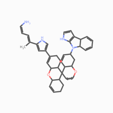 C/C(=C\C=C/N)c1cc(C2=CC3OC4C=CCCC4C4(C5=CCCC=C5OC5CC(N6c7[nH]ccc7C7C=CC=CC76)C=CC54)C3CC2)c[nH]1